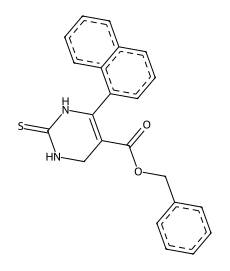 O=C(OCc1ccccc1)C1=C(c2cccc3ccccc23)NC(=S)NC1